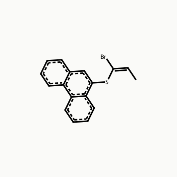 C/C=C(/Br)Sc1cc2ccccc2c2ccccc12